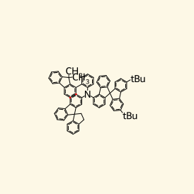 CC(C)(C)c1ccc2c(c1)-c1cc(C(C)(C)C)ccc1C21c2ccccc2-c2c(N(c3ccc4c(c3)C3(CCc5ccccc53)c3ccccc3-4)c3ccccc3-c3cccc4c3C(C)(C)c3ccccc3-4)cccc21